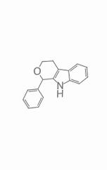 c1ccc(C2OCCc3c2[nH]c2ccccc32)cc1